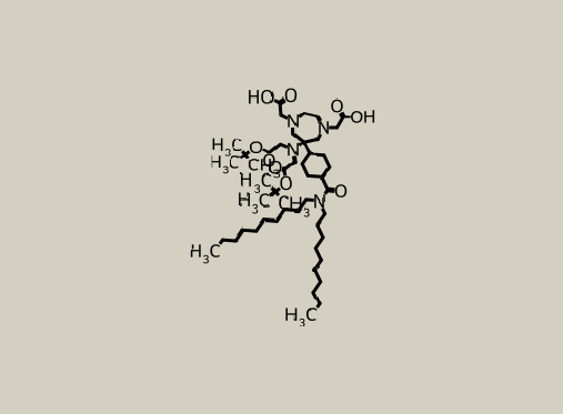 CCCCCCCCCCN(CCCCCCCCCC)C(=O)C1CCC(C2(N(CC(=O)OC(C)(C)C)CC(=O)OC(C)(C)C)CN(CC(=O)O)CCN(CC(=O)O)C2)CC1